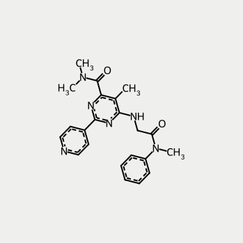 Cc1c(NCC(=O)N(C)c2ccccc2)nc(-c2ccncc2)nc1C(=O)N(C)C